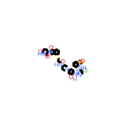 COc1cc(N2CCC(NC(=O)CCSc3cccc4c3CN(C3CCC(=O)NC3=O)C4=O)CC2)ccc1Nc1ncc(Cl)c(Nc2ccccc2P(C)(C)=O)n1